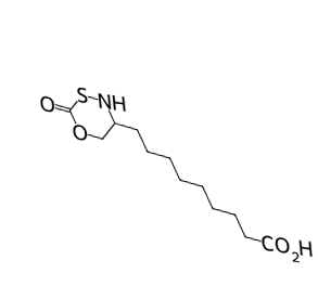 O=C(O)CCCCCCCCC1COC(=O)SN1